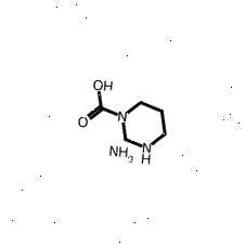 N.O=C(O)N1CCCNC1